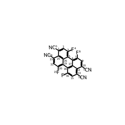 N#Cc1cc(F)c2c3c(F)cc(C#N)c4c(C#N)cc(F)c(c5c(F)cc(C#N)c1c25)c43